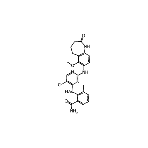 COc1c(Nc2ncc(Cl)c([AsH]c3c(C)cccc3C(N)=O)n2)ccc2c1CCCC(=O)N2